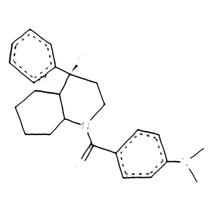 CN(C)c1ccc(C(=O)N2CC[C@@](O)(c3ccccc3)[C@@H]3CCCCC32)cc1